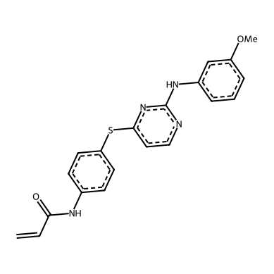 C=CC(=O)Nc1ccc(Sc2ccnc(Nc3cccc(OC)c3)n2)cc1